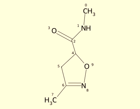 CNC(=O)C1CC(C)=NO1